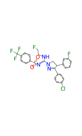 O=S(=O)(/N=C(\NCCF)N1CC(c2cccc(F)c2)C(c2ccc(Cl)cc2)=N1)c1ccc(C(F)(F)F)cc1